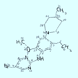 CCc1cc(Nc2ncc(Br)cn2)c(OC)cc1N1CCC(C)CC1